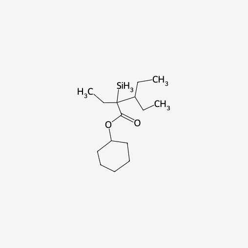 CCC(CC)C([SiH3])(CC)C(=O)OC1CCCCC1